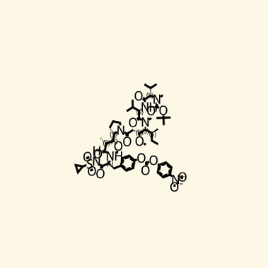 CC[C@H](C)[C@@H]([C@@H](CC(=O)N1CCC[C@H]1[C@H](OC)[C@@H](C)C(=O)N[C@@H](Cc1ccc(OC(=O)Oc2ccc([N+](=O)[O-])cc2)cc1)C(=O)NS(=O)(=O)C1CC1)OC)N(C)C(=O)[C@@H](NC(=O)[C@H](C(C)C)N(C)C(=O)OC(C)(C)C)C(C)C